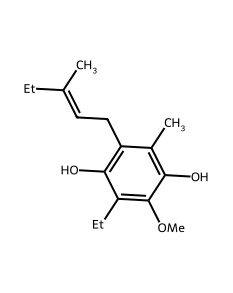 CC/C(C)=C/Cc1c(C)c(O)c(OC)c(CC)c1O